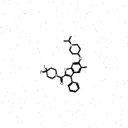 Cc1cc2c(-c3ccccc3)c(C(=O)N3CCC(F)(F)CC3)oc2cc1OC1CCN(C(C)C)CC1